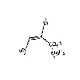 CCCC=C(CC)C(=O)O.[MgH2]